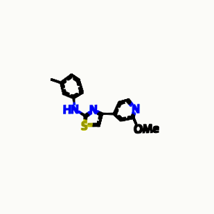 COc1cc(-c2csc(Nc3cccc(C)c3)n2)ccn1